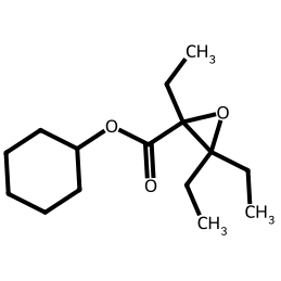 CCC1(CC)OC1(CC)C(=O)OC1CCCCC1